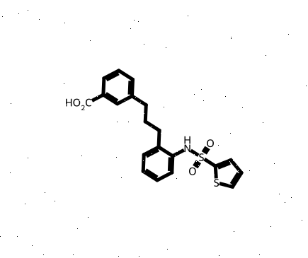 O=C(O)c1cccc(CCCc2ccccc2NS(=O)(=O)c2cccs2)c1